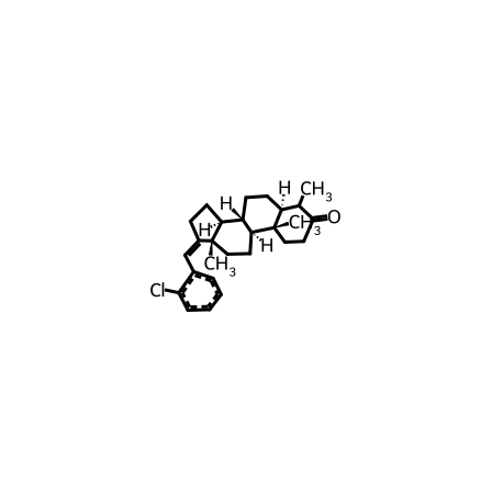 CC1C(=O)CC[C@@]2(C)[C@H]1CC[C@@H]1[C@@H]2CC[C@]2(C)/C(=C\c3ccccc3Cl)CC[C@@H]12